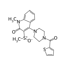 Cn1c(=O)c([S+](C)[O-])c(N2CCN(C(=O)c3cccs3)CC2)c2ccccc21